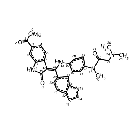 COC(=O)c1ccc2c(c1)NC(=O)C2=C(Nc1ccc(N(C)C(=O)CN(C)C)cc1)c1ccc2scnc2c1